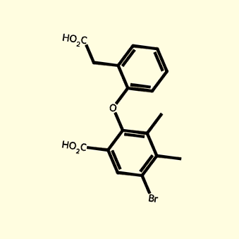 Cc1c(Br)cc(C(=O)O)c(Oc2ccccc2CC(=O)O)c1C